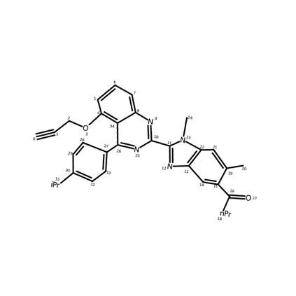 C#CCOc1cccc2nc(-c3nc4cc(C(=O)CCC)c(C)cc4n3C)nc(-c3ccc(C(C)C)cc3)c12